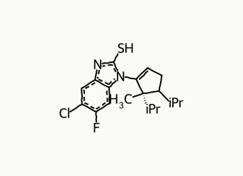 CC(C)C1CC=C(n2c(S)nc3cc(Cl)c(F)cc32)[C@@]1(C)C(C)C